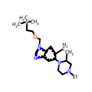 CCN1CCN(c2cc3ncn(COCC[Si](C)(C)C)c3cc2C)C(C)C1